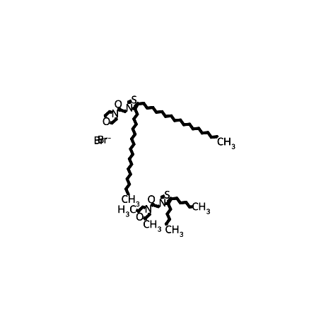 CCCCCCCCCCCCCCCCCCc1sc[n+](CC(=O)N2CCOCC2)c1CCCCCCCCCCCCCCCCCC.CCCCCc1sc[n+](CC(=O)N2CC(C)OC(C)C2)c1CCCCC.[Br-].[Br-]